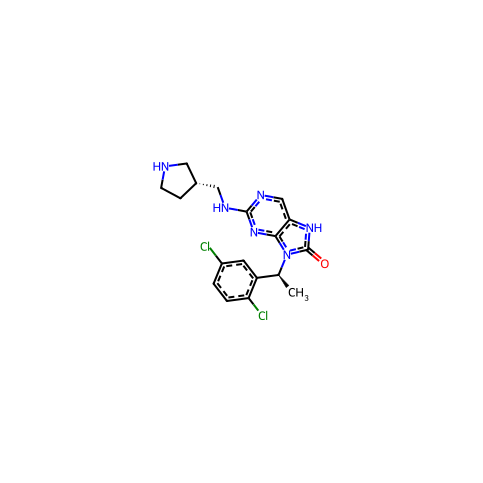 C[C@@H](c1cc(Cl)ccc1Cl)n1c(=O)[nH]c2cnc(NC[C@@H]3CCNC3)nc21